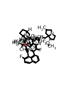 C=C1CN2CC[C@H](OC)C2(COc2nc3c4c(nc(-c5cccc6ccc(F)c(C#C[Si](C(C)C)(C(C)C)C(C)C)c56)c(F)c4n2)O[C@@H](C)[C@@H]2[C@@H]4CC[C@H](CN32)N4C(=O)OC(C)(C)C)C1